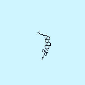 CCCCOC(=O)OC1CC[C@@]2(C)C(=CCC3C2CC[C@@]2(C)C3CC[C@@H]2[C@H](C)CCCC(C)C)C1